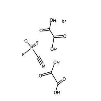 N#CP([O-])(F)=S.O=C(O)C(=O)O.O=C(O)C(=O)O.[K+]